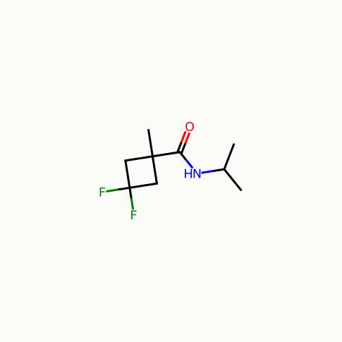 CC(C)NC(=O)C1(C)CC(F)(F)C1